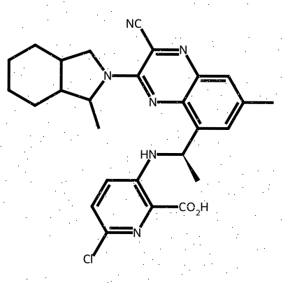 Cc1cc([C@@H](C)Nc2ccc(Cl)nc2C(=O)O)c2nc(N3CC4CCCCC4C3C)c(C#N)nc2c1